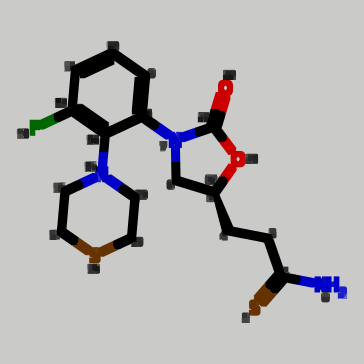 NC(=S)CC[C@H]1CN(c2cccc(F)c2N2CCSCC2)C(=O)O1